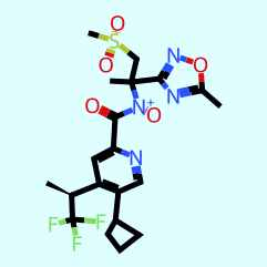 Cc1nc(C(C)(CS(C)(=O)=O)[N+](=O)C(=O)c2cc([C@H](C)C(F)(F)F)c(C3CCC3)cn2)no1